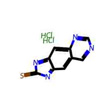 Cl.Cl.S=C1N=c2cc3cncnc3cc2=N1